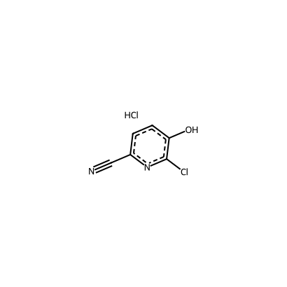 Cl.N#Cc1ccc(O)c(Cl)n1